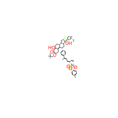 C=CC(=C\C=C(/C)c1ccc([C@H]2C[C@@]3(C)C(CC[C@@]3(O)C(F)(F)C(F)(F)F)C3CC[C@@]4(O)CC5(CCC4=C32)OCC(C)(C)CO5)cc1)/[SH](=O)=N/S(=O)(=O)c1ccc(C)cc1